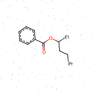 CCC(CCC(C)C)OC(=O)c1ccccc1